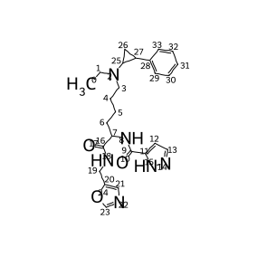 CCN(CCCCC(NC(=O)c1ccn[nH]1)C(=O)NCc1cnco1)C1CC1c1ccccc1